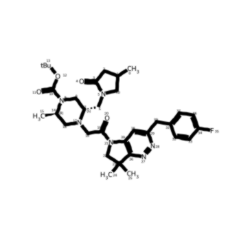 CC1CC(=O)N(C[C@H]2CN(C(=O)OC(C)(C)C)[C@H](C)CN2CC(=O)N2CC(C)(C)c3nnc(Cc4ccc(F)cc4)cc32)C1